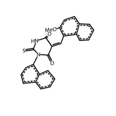 COc1ccc2ccccc2c1C=C1C(=O)NC(=S)N(c2cccc3ccccc23)C1=O